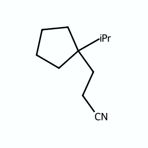 CC(C)C1(CCC#N)CCCC1